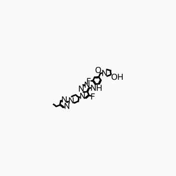 CCc1cnc(N2CCC(n3cc(F)c4c(Nc5ccc(C(=O)N6CCC(O)C6)cc5F)ncnc43)CC2)nc1